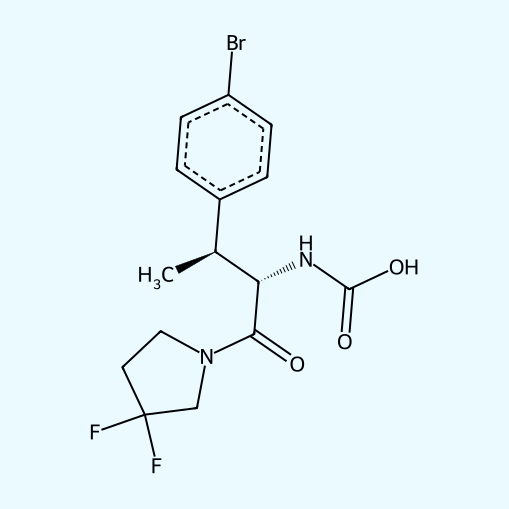 C[C@@H](c1ccc(Br)cc1)[C@H](NC(=O)O)C(=O)N1CCC(F)(F)C1